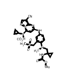 CN(CC1(NC(=O)OC(C)(C)C)CC1)c1ccc(Nc2cc(N(C(=O)O)C3CC3)n3ncc(C#N)c3n2)cc1CS(C)(=O)=O